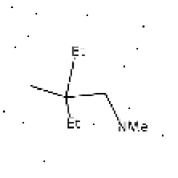 CCC(C)(CC)CNC